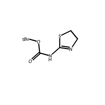 CC(C)(C)OC(=O)NC1=NCCS1